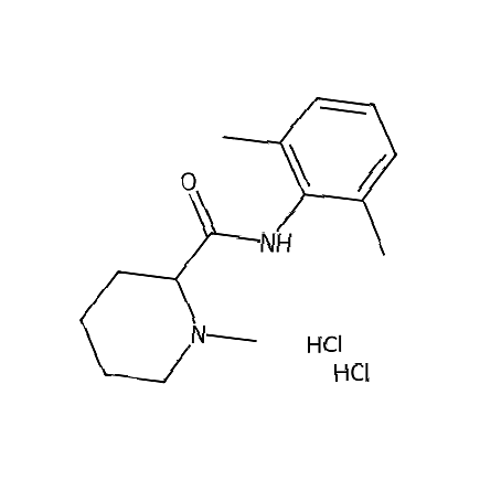 Cc1cccc(C)c1NC(=O)C1CCCCN1C.Cl.Cl